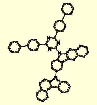 c1ccc(-c2ccc(-c3nc(-c4ccc(-c5ccccc5)cc4)nc(-n4c5ccc(-n6c7ccccc7c7c8ccccc8ccc76)cc5c5cc6ccccc6cc54)n3)cc2)cc1